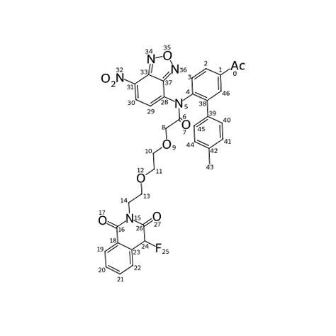 CC(=O)c1ccc(N(C(=O)COCCOCCN2C(=O)c3ccccc3C(F)C2=O)c2ccc([N+](=O)[O-])c3nonc23)c(-c2ccc(C)cc2)c1